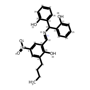 CCCCc1cc([N+](=O)[O-])cc(/C=N/C(c2ccccc2O)c2ccccc2O)c1O